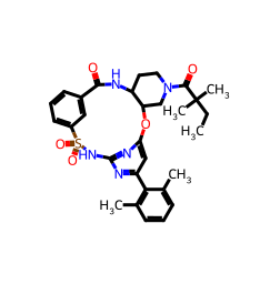 CCC(C)(C)C(=O)N1CCC2NC(=O)c3cccc(c3)S(=O)(=O)Nc3nc(cc(-c4c(C)cccc4C)n3)OC2C1